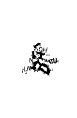 CCOCc1nc2c(N)nc3ccccc3c2n1CC(C)(C)O.Cl.Cl